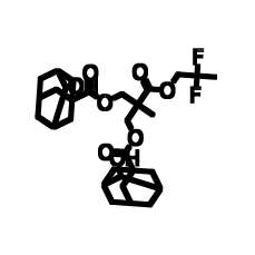 CC(F)(F)COC(=O)C(C)(COC(=O)C12CC3CC(C1)C(O)C(C3)C2)COC(=O)C12CC3CC(C1)C(O)C(C3)C2